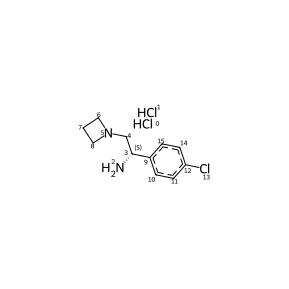 Cl.Cl.N[C@H](CN1CCC1)c1ccc(Cl)cc1